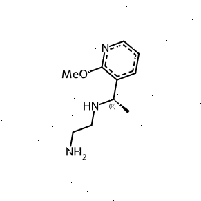 COc1ncccc1[C@@H](C)NCCN